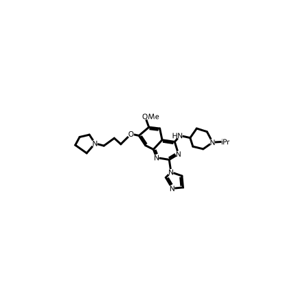 COc1cc2c(NC3CCN(C(C)C)CC3)nc(-n3ccnc3)nc2cc1OCCCN1CCCC1